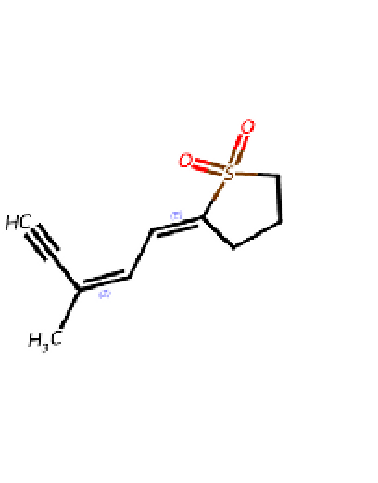 C#C/C(C)=C\C=C1/CCCS1(=O)=O